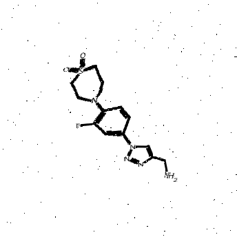 NCc1cn(-c2ccc(N3CCS(=O)(=O)CC3)c(F)c2)nn1